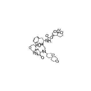 O=C(NC(Cc1ccccc1)[C@H](O)CN(C1CCC2(CCOCC2)OC1)C1C[C@@]2(CCCOCC2)NC1=O)O[C@H]1CO[C@H]2OCCC21